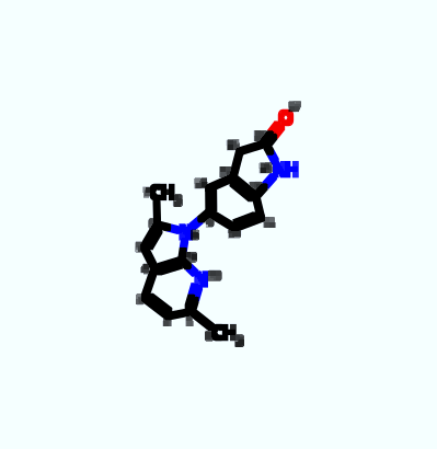 Cc1ccc2cc(C)n(-c3ccc4c(c3)CC(=O)N4)c2n1